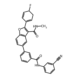 CNC(=O)c1c(C2=CCC(F)C=C2)oc2ccc(-c3cccc(C(=O)Nc4cccc(C#N)c4)c3)cc12